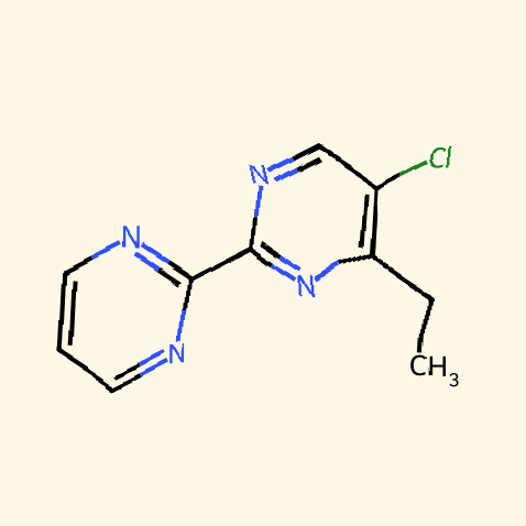 CCc1nc(-c2ncccn2)ncc1Cl